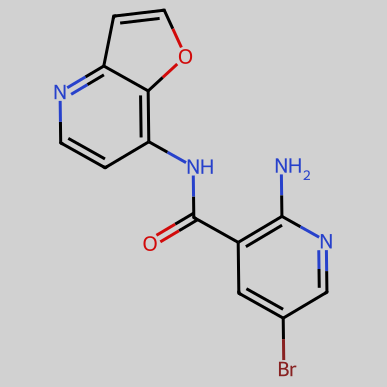 Nc1ncc(Br)cc1C(=O)Nc1ccnc2ccoc12